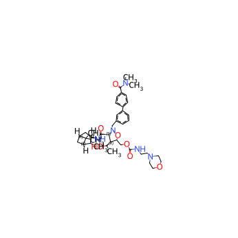 CC(O)[C@@H]1C(COC(=O)NCCN2CCOCC2)ON(Cc2cccc(-c3ccc(C(=O)N(C)C)cc3)c2)[C@@H]1C(=O)N[C@H]1C[C@H]2C[C@@H](C1C)C2(C)C